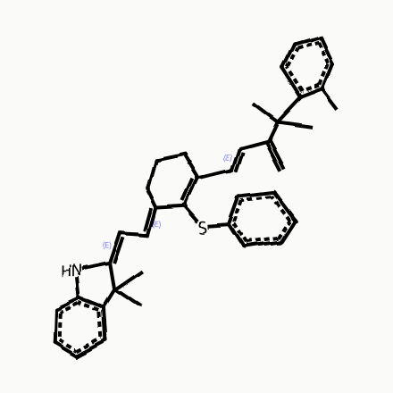 C=C(/C=C/C1=C(Sc2ccccc2)C(=C/C=C2/Nc3ccccc3C2(C)C)/CCC1)C(C)(C)c1ccccc1C